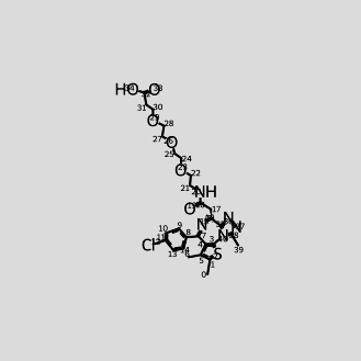 Cc1sc2c(c1C)C(c1ccc(Cl)cc1)=N[C@@H](CC(=O)NCCOCCOCCOCCC(=O)O)c1nnc(C)n1-2